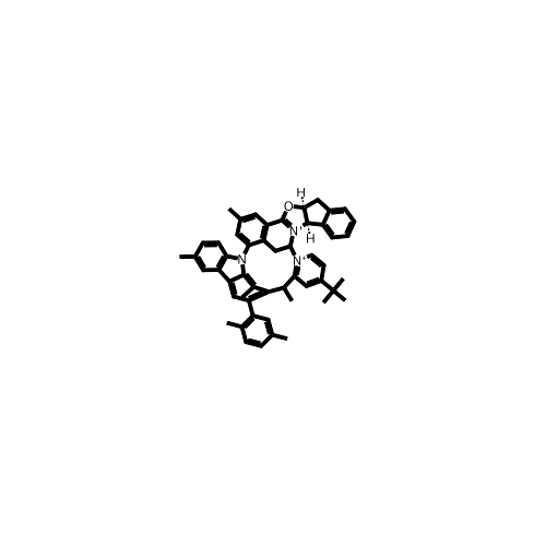 Cc1ccc(C)c(-c2cc3c4cc(C)ccc4n4c3c(C)c2C(C)c2cc(C(C)(C)C)cc[n+]2C2Cc3c(cc(C)cc3-4)C3=[N+]2[C@@H]2c4ccccc4C[C@@H]2O3)c1